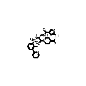 Cc1c(-c2ccccn2)cccc1S(=O)(=O)N[C@@H](CNC(=O)c1csc(Cl)c1)C(=O)N1CCC(=C(F)F)CC1